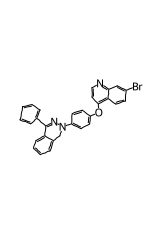 Brc1ccc2c(Oc3ccc(N4Cc5ccccc5C(c5ccccc5)=N4)cc3)ccnc2c1